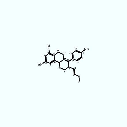 CCC=CC1CCC2c3cc(F)cc(F)c3CCC2C1c1ccc(F)cc1